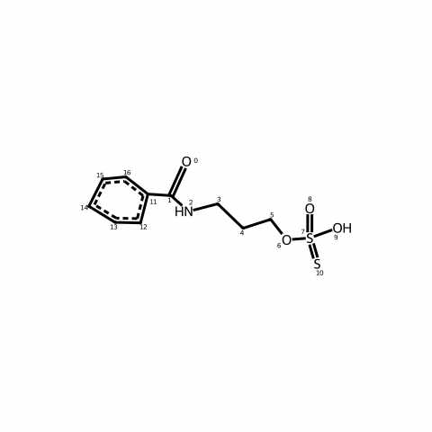 O=C(NCCCOS(=O)(O)=S)c1ccccc1